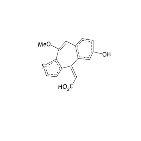 COC1=Cc2ccc(O)cc2C(=CC(=O)O)c2ccsc21